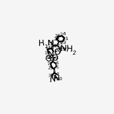 Cn1cc(-c2ccc(S(=O)(=O)n3ccc(C(N)=C(C(N)=O)c4ccccc4)c3)cc2)cn1